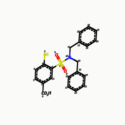 O=C(O)c1ccc(S)c(S(=O)(=O)N(Cc2ccccc2)Cc2ccccc2)c1